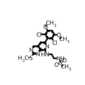 COc1cc(OC)c(Cl)c(-c2cc3cnc(SC)nc3c(NCCNS(C)(=O)=O)n2)c1Cl